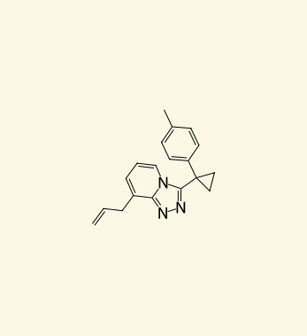 C=CCc1cccn2c(C3(c4ccc(C)cc4)CC3)nnc12